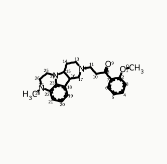 COc1ccccc1C(=O)CCN1CCC2C(C1)c1cccc3c1N2CCN3C